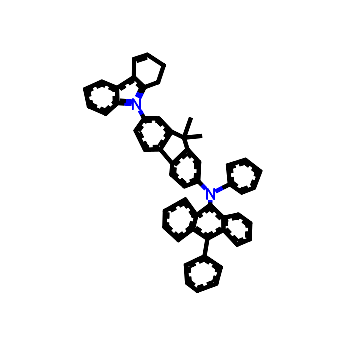 CC1(C)c2cc(N(c3ccccc3)c3c4ccccc4c(-c4ccccc4)c4ccccc34)ccc2-c2ccc(-n3c4c(c5ccccc53)C=CCC4)cc21